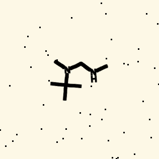 CNCN(C)C(C)(C)C